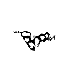 CCOC(=O)C1CCc2c(sc3ncnc(Nc4cc5cn[nH]c5cc4Cl)c23)C1